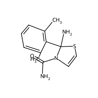 Cc1cccc(C)c1C1(N)SC=CN1C(N)=O